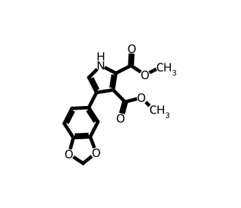 COC(=O)c1[nH]cc(-c2ccc3c(c2)OCO3)c1C(=O)OC